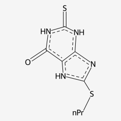 CCCSc1nc2[nH]c(=S)[nH]c(=O)c2[nH]1